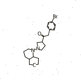 O=C(Cc1ccc(Br)cc1)C1CCN(N2CCCC3CCCCC32)C1